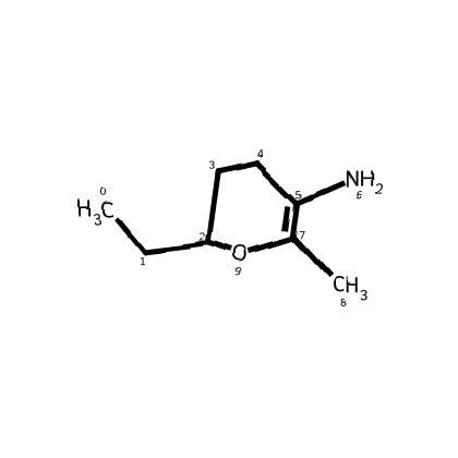 CCC1CCC(N)=C(C)O1